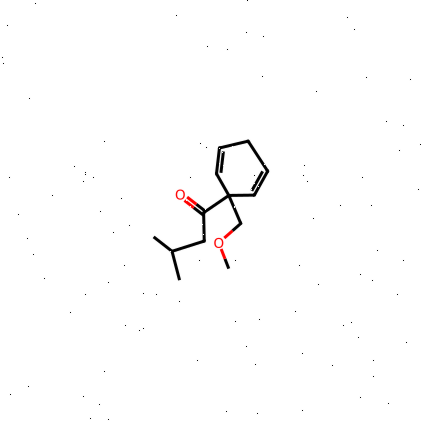 COCC1(C(=O)CC(C)C)C=CCC=C1